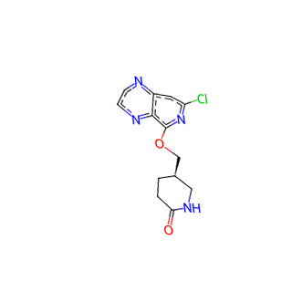 O=C1CC[C@@H](COc2nc(Cl)cc3nccnc23)CN1